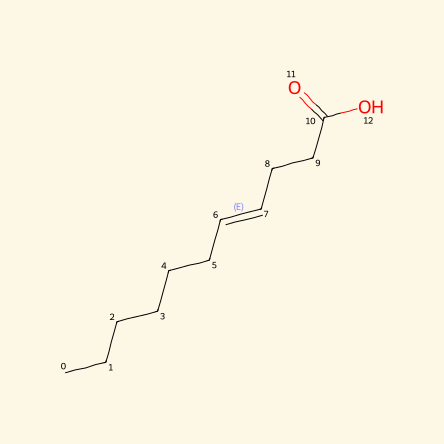 CCCCCC/C=C/CCC(=O)O